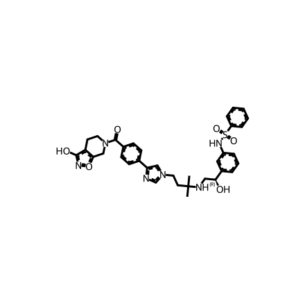 CC(C)(CCn1cnc(-c2ccc(C(=O)N3CCc4c(O)noc4C3)cc2)c1)NC[C@H](O)c1cccc(NS(=O)(=O)c2ccccc2)c1